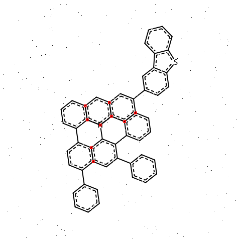 c1ccc(-c2ccc(-c3ccccc3N(c3ccc(-c4ccc5sc6ccccc6c5c4)cc3)c3cccc(-c4ccccc4)c3-c3ccccc3-c3ccccc3)cc2)cc1